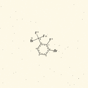 Fc1c(Br)cccc1C(F)(F)Br